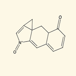 O=C1C=CC=C2C=C3[N+](=O)C=C4CC43CC12